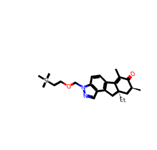 CC[C@]12Cc3c(ccc4c3cnn4COCC[Si](C)(C)C)C1=C(C)C(=O)[C@@H](C)C2